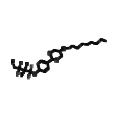 CCCCCCCCCOC1COC(C2=CCC(OC(F)(F)C(F)(F)C(F)(F)CF)C=C2)OC1